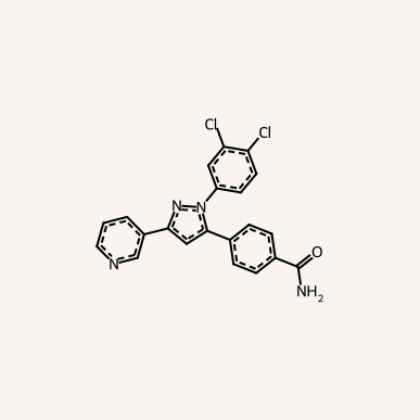 NC(=O)c1ccc(-c2cc(-c3cccnc3)nn2-c2ccc(Cl)c(Cl)c2)cc1